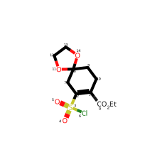 CCOC(=O)C1=C(S(=O)(=O)Cl)CC2(CC1)OCCO2